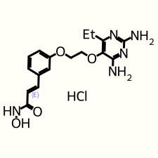 CCc1nc(N)nc(N)c1OCCOc1cccc(/C=C/C(=O)NO)c1.Cl